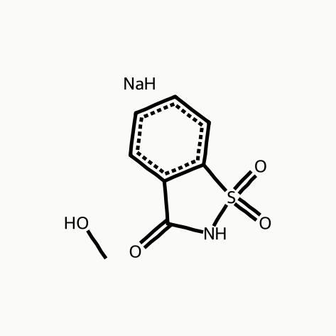 CO.O=C1NS(=O)(=O)c2ccccc21.[NaH]